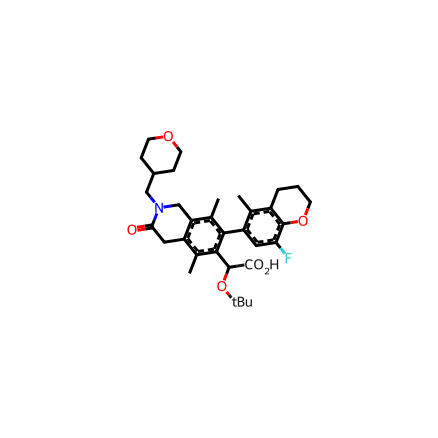 Cc1c(-c2c(C)c3c(c(C)c2C(OC(C)(C)C)C(=O)O)CC(=O)N(CC2CCOCC2)C3)cc(F)c2c1CCCO2